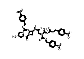 CN(C(=O)CN(C(=O)OCc1ccc([N+](=O)[O-])cc1)C(N)=NC(=O)OCc1ccc([N+](=O)[O-])cc1)C1CN(C(=O)[C@@H]2C[C@H](S)CN2C(=O)OCc2ccc([N+](=O)[O-])cc2)C1